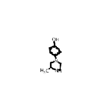 C[C@H]1CN(c2ccc(O)cc2)CCN1